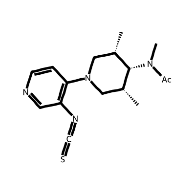 CC(=O)N(C)[C@@H]1[C@H](C)CN(c2ccncc2N=C=S)C[C@@H]1C